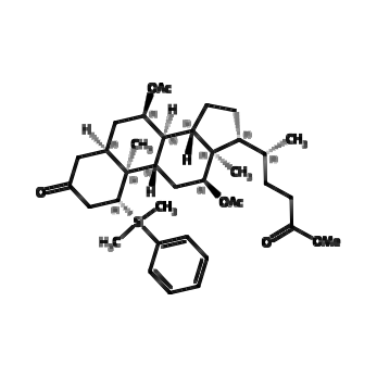 COC(=O)CC[C@@H](C)[C@H]1CC[C@H]2[C@@H]3[C@H](OC(C)=O)C[C@@H]4CC(=O)C[C@@H]([Si](C)(C)c5ccccc5)[C@]4(C)[C@H]3C[C@H](OC(C)=O)[C@]12C